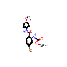 CC(C)(C)OC(=O)Nc1cc(Br)ccc1C(=O)Nc1ccc(OC(F)(F)F)cc1